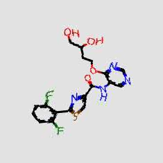 O=C(Nc1cncnc1OCCC(O)CO)c1csc(-c2c(F)cccc2F)n1